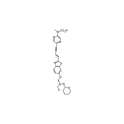 CN(C(=O)O)c1cnc(C#C/C=C/c2nc3ccc(OC[C@H](CF)OC4CCCCO4)cc3s2)cn1